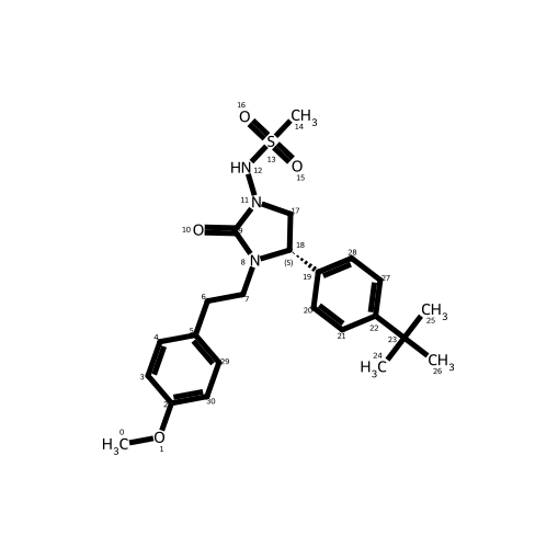 COc1ccc(CCN2C(=O)N(NS(C)(=O)=O)C[C@@H]2c2ccc(C(C)(C)C)cc2)cc1